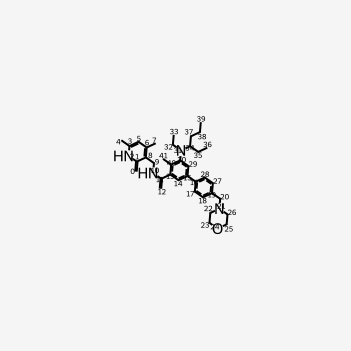 C=C1NC(C)=CC(C)=C1CNC(=C)c1cc(-c2ccc(CN3CCOCC3)cc2)cc(N(CC)C(CC)CCC)c1C